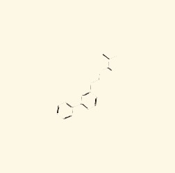 C=C(C)C(=O)OCCc1cccc(-c2ccccc2)c1